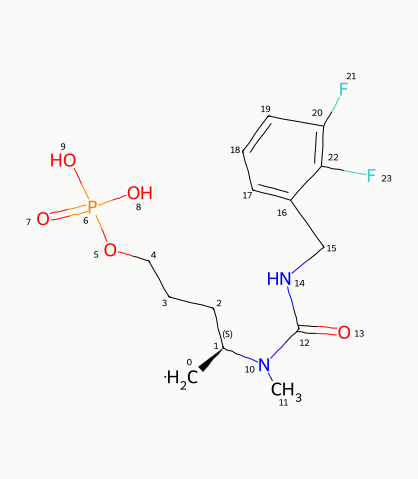 [CH2][C@@H](CCCOP(=O)(O)O)N(C)C(=O)NCc1cccc(F)c1F